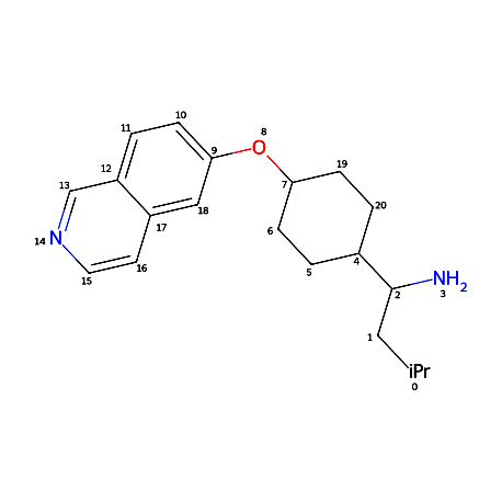 CC(C)CC(N)C1CCC(Oc2ccc3cnccc3c2)CC1